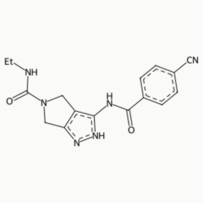 CCNC(=O)N1Cc2n[nH]c(NC(=O)c3ccc(C#N)cc3)c2C1